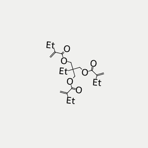 C=C(CC)C(=O)OCC(CC)(COC(=O)C(=C)CC)COC(=O)C(=C)CC